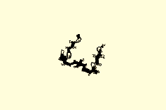 C=C(/C=C\CC(C)(C)C/C=C\C(=C)OCCCOC)OCCCOC